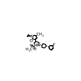 Cc1cc(C(CNS(C)(=O)=O)CO[C@H]2CC[C@@H](c3cccc(F)c3)CC2)c(=O)n(C2CC2)c1